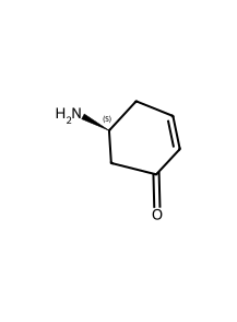 N[C@H]1CC=CC(=O)C1